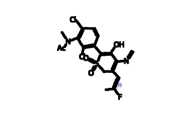 C=NC1=C(/C=C(\C)F)CS(=O)(=O)C(c2ccc(Cl)c(N(C)C(C)=O)c2Cl)=C1O